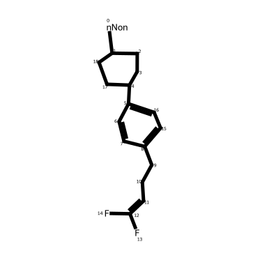 CCCCCCCCCC1CCC(c2ccc(CCC=C(F)F)cc2)CC1